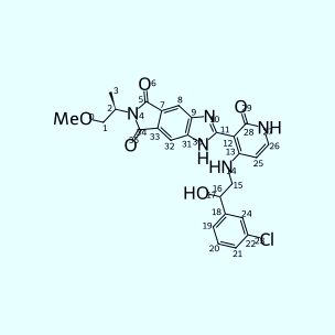 COC[C@@H](C)N1C(=O)c2cc3nc(-c4c(NCC(O)c5cccc(Cl)c5)cc[nH]c4=O)[nH]c3cc2C1=O